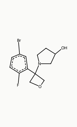 OC1CCN(C2(c3cc(Br)ccc3F)COC2)C1